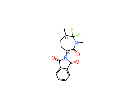 C[C@@H]1CC[C@H](N2C(=O)c3ccccc3C2=O)C(=O)N(C)C1(F)F